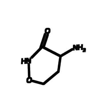 NC1CCONC1=O